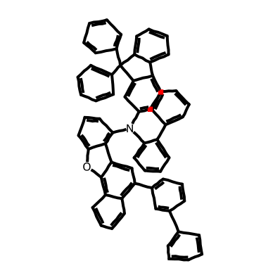 c1ccc(-c2cccc(-c3cc4c(oc5cccc(N(c6ccc7c(c6)C(c6ccccc6)(c6ccccc6)c6ccccc6-7)c6ccccc6-c6ccccc6)c54)c4ccccc34)c2)cc1